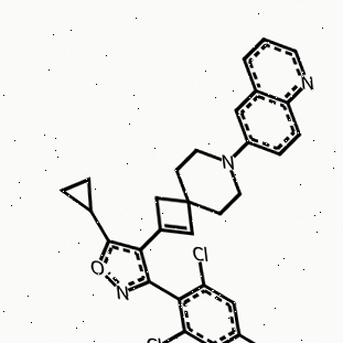 Fc1cc(Cl)c(-c2noc(C3CC3)c2C2=CC3(CCN(c4ccc5ncccc5c4)CC3)C2)c(Cl)c1